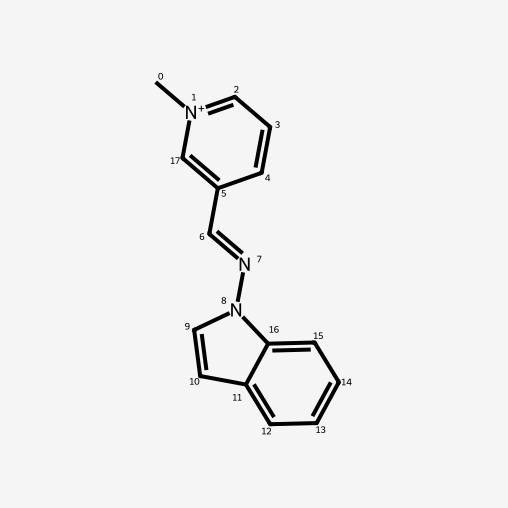 C[n+]1cccc(C=Nn2ccc3ccccc32)c1